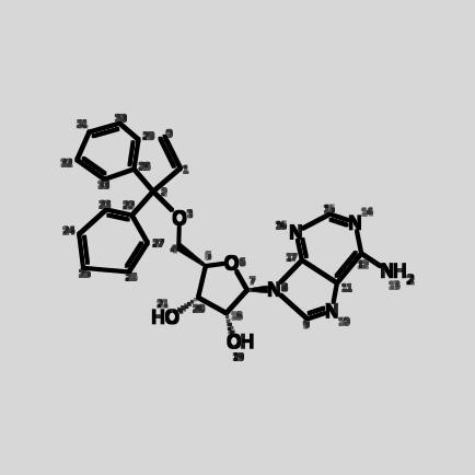 C=CC(OC[C@H]1O[C@@H](n2cnc3c(N)ncnc32)[C@H](O)[C@@H]1O)(c1ccccc1)c1ccccc1